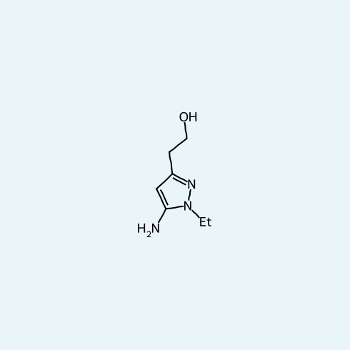 CCn1nc(CCO)cc1N